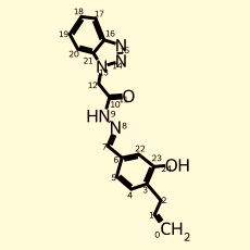 C=CCc1ccc(/C=N/NC(=O)Cn2nnc3ccccc32)cc1O